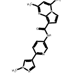 Cc1cc(C)n2ccc(C(=O)Nc3ccc(-c4cnn(C)c4)nc3)c2n1